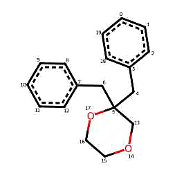 c1ccc(CC2(Cc3ccccc3)COCCO2)cc1